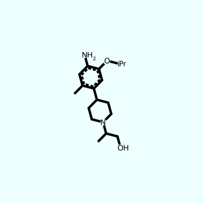 Cc1cc(N)c(OC(C)C)cc1C1CCN(C(C)CO)CC1